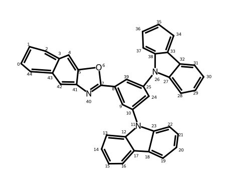 c1ccc2cc3oc(-c4cc(-n5c6ccccc6c6ccccc65)cc(-n5c6ccccc6c6ccccc65)c4)nc3cc2c1